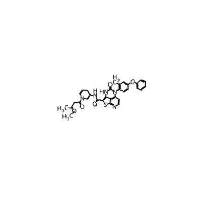 CO[C@H](C)CC(=O)N1CCCC(NC(=O)c2sc3nccc4c3c2NC(=O)N4c2ccc(Oc3ccccc3)cc2C)C1